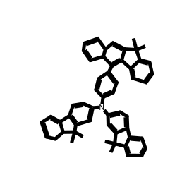 CC1(C)C2=CC3C=CC=CC3C(c3ccc(N(c4ccc5c(c4)C(C)(C)c4ccccc4-5)c4ccc5c(c4)C(C)(C)C4CC=CC=C54)cc3)=C2c2ccccc21